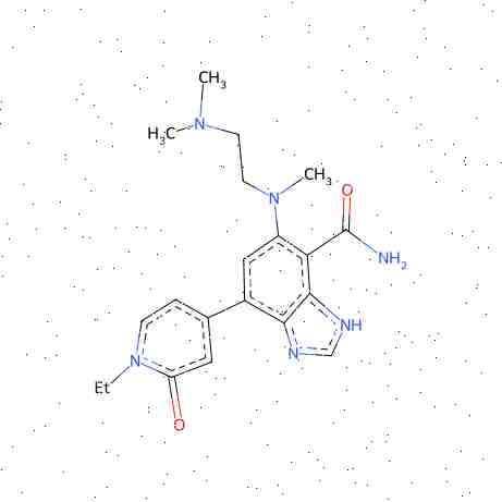 CCn1ccc(-c2cc(N(C)CCN(C)C)c(C(N)=O)c3[nH]cnc23)cc1=O